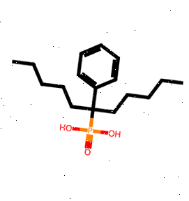 CCCCCC(CCCCC)(c1ccccc1)P(=O)(O)O